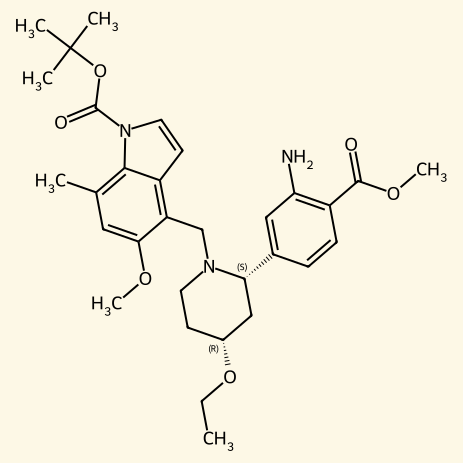 CCO[C@@H]1CCN(Cc2c(OC)cc(C)c3c2ccn3C(=O)OC(C)(C)C)[C@H](c2ccc(C(=O)OC)c(N)c2)C1